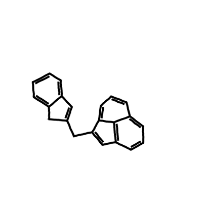 [CH]1C(CC2=Cc3cccc4cccc2c34)=Cc2ccccc21